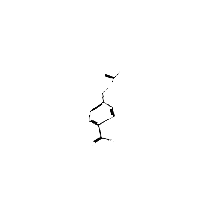 CCCC(=O)NCc1ccc(C(=N)N)cc1